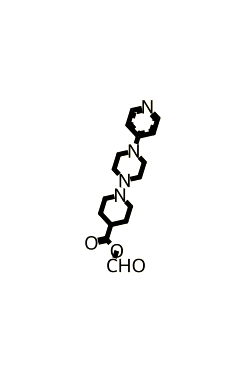 O=COC(=O)C1CCN(N2CCN(c3ccncc3)CC2)CC1